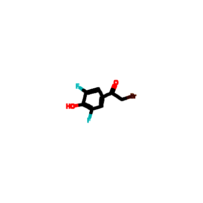 O=C(CBr)c1cc(F)c(O)c(F)c1